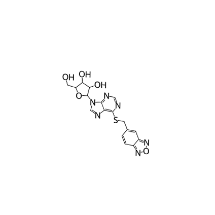 OCC1OC(n2cnc3c(SCc4ccc5nonc5c4)ncnc32)C(O)C1O